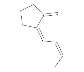 C=C1CCC/C1=C/C=C\C